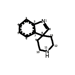 C1=Nc2ccccc2C12CCNCC2